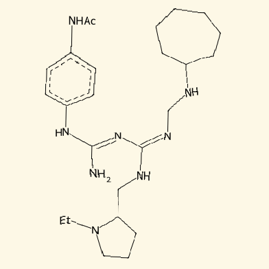 CCN1CCCC1CNC(=N/CNC1CCCCCC1)/N=C(\N)Nc1ccc(NC(C)=O)cc1